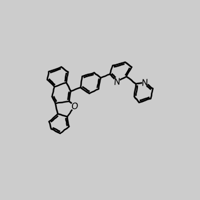 c1ccc(-c2cccc(-c3ccc(-c4c5ccccc5cc5c4oc4ccccc45)cc3)n2)nc1